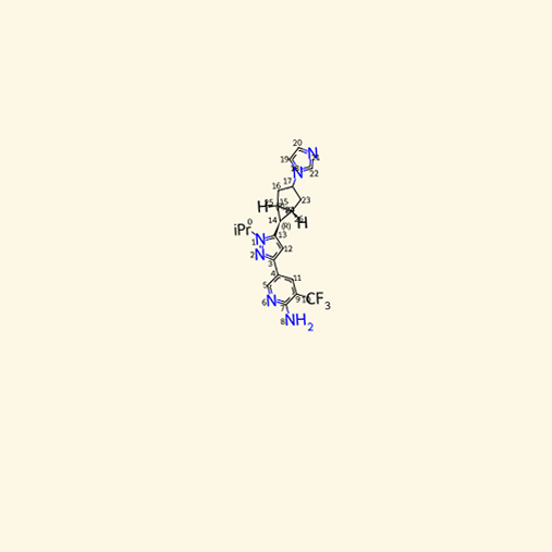 CC(C)n1nc(-c2cnc(N)c(C(F)(F)F)c2)cc1[C@H]1[C@@H]2CC(n3ccnc3)C[C@@H]21